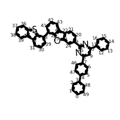 c1ccc(-c2ccc(-c3cc(-c4ccccc4)nc(-c4ccc5c(c4)oc4c(-c6cccc7c6sc6ccccc67)cccc45)n3)cc2)cc1